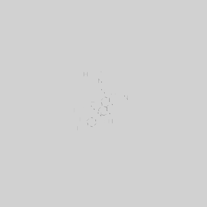 Cc1nc(N[C@H](C)c2cccc(C(F)F)c2F)c2cc(N3CCN(C(C)C)CC3)c(OC3CNC3)nc2n1